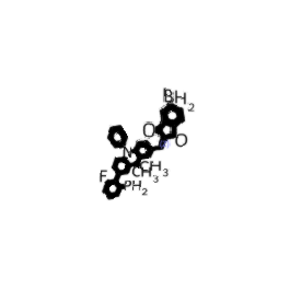 Bc1ccc2c(c1)C(=O)/C(=C\c1ccc3c(c1)C(C)(C)c1cc(-c4c(F)cccc4P)ccc1N3c1ccccc1)C2=O